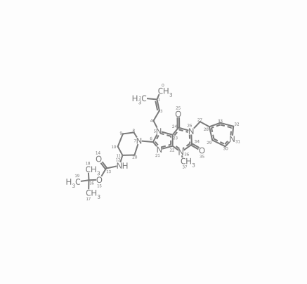 CC(C)=CCn1c(N2CCCC(NC(=O)OC(C)(C)C)C2)nc2c1c(=O)n(Cc1ccncc1)c(=O)n2C